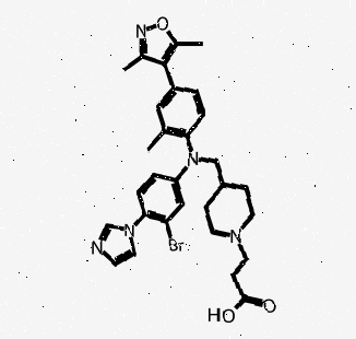 Cc1cc(-c2c(C)noc2C)ccc1N(CC1CCN(CCC(=O)O)CC1)c1ccc(-n2ccnc2)c(Br)c1